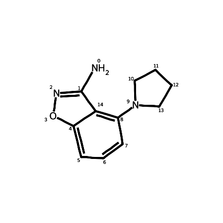 Nc1noc2cccc(N3CCCC3)c12